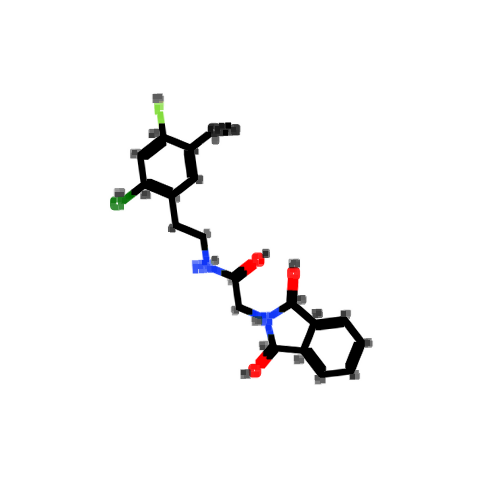 COc1cc(CCNC(=O)CN2C(=O)c3ccccc3C2=O)c(Cl)cc1F